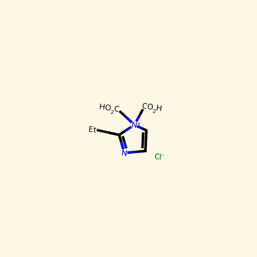 CCC1=NC=C[N+]1(C(=O)O)C(=O)O.[Cl-]